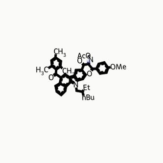 CCCCC(CC)Cn1c2ccc(C(=O)/C(=N\OC(C)=O)C(=O)c3ccc(OC)cc3)cc2c2cc(C(=O)c3c(C)cc(C)cc3C)c3ccccc3c21